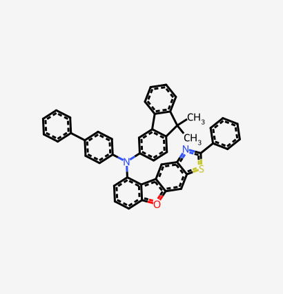 CC1(C)c2ccccc2-c2cc(N(c3ccc(-c4ccccc4)cc3)c3cccc4oc5cc6sc(-c7ccccc7)nc6cc5c34)ccc21